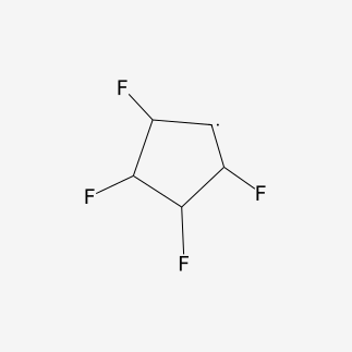 FC1[CH]C(F)C(F)C1F